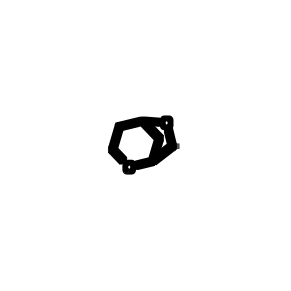 [CH]1OC2CCOC1C2